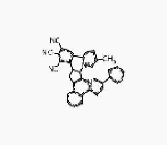 Cc1ccc2[n+](c1)C1c3c(c4ccccc4c4ccc(-c5ccccc5)c[n+]34)CC1c1c-2cc(C#N)c(C#N)c1C#N